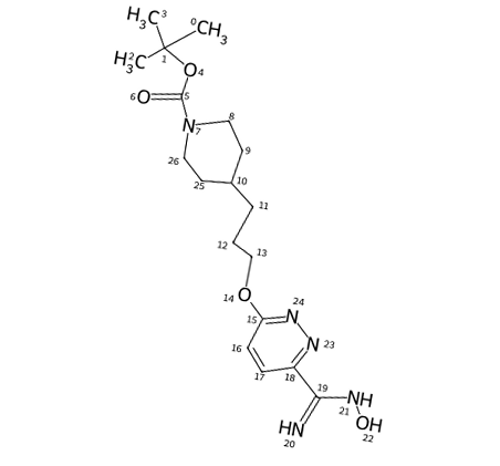 CC(C)(C)OC(=O)N1CCC(CCCOc2ccc(C(=N)NO)nn2)CC1